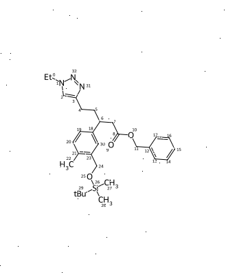 CCn1cc(CCC(CC(=O)OCc2ccccc2)c2ccc(C)c(CO[Si](C)(C)C(C)(C)C)c2)nn1